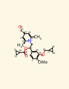 COc1ccc(C(CN2C(C)=CC(=C=O)C=C2C)OC(=O)C2CC2)cc1OCC1CC1